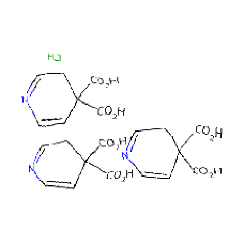 Cl.O=C(O)C1(C(=O)O)C=CN=CC1.O=C(O)C1(C(=O)O)C=CN=CC1.O=C(O)C1(C(=O)O)C=CN=CC1